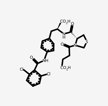 O=C(O)CCC(=O)N1CSC[C@H]1C(=O)N[C@@H](Cc1ccc(NC(=O)c2c(Cl)cccc2Cl)cc1)C(=O)O